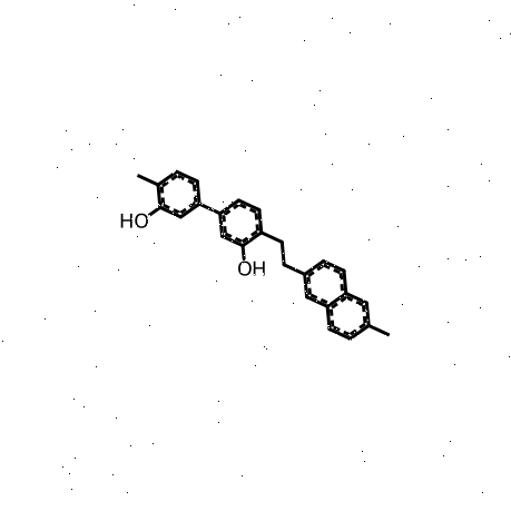 Cc1ccc2cc(CCc3ccc(-c4ccc(C)c(O)c4)cc3O)ccc2c1